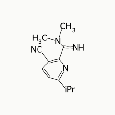 CC(C)c1ccc(C#N)c(C(=N)N(C)C)n1